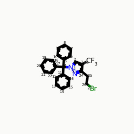 FC(F)(F)c1cn(C(c2ccccc2)(c2ccccc2)c2ccccc2)nc1CCBr